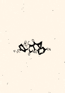 CC1=C(C(=O)C2CC2)[C@@H](c2ccc(C#N)cc2)NC(=O)N1c1cccc(C(F)(F)F)c1